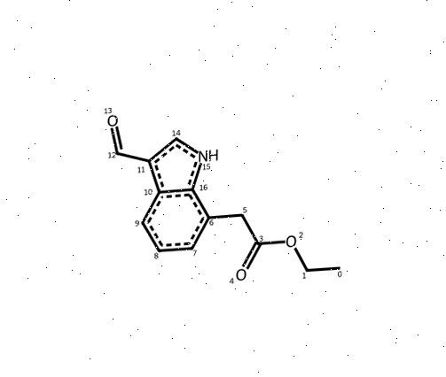 CCOC(=O)Cc1cccc2c(C=O)c[nH]c12